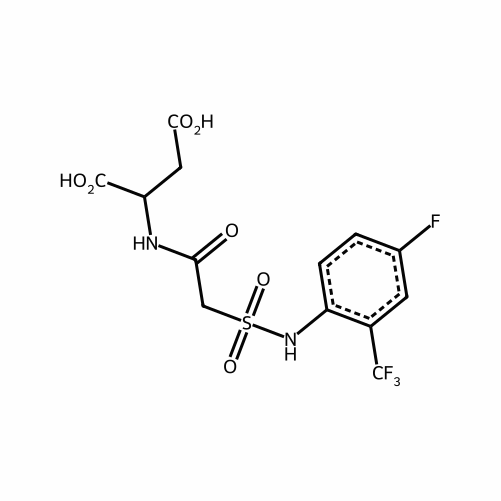 O=C(O)CC(NC(=O)CS(=O)(=O)Nc1ccc(F)cc1C(F)(F)F)C(=O)O